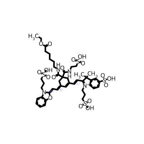 CCOC(=O)CCCCCNC(=O)C1(C(=O)NCCS(=O)(=O)O)CC(/C=C/C2=[N+](CCCS(=O)(=O)O)c3ccc(S(=O)(=O)O)cc3C2(C)C)=CC(=C/C=C2\Oc3ccccc3N2CCCS(=O)(=O)O)/C1